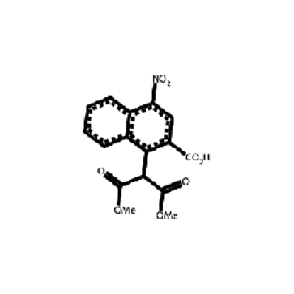 COC(=O)C(C(=O)OC)c1c(C(=O)O)cc([N+](=O)[O-])c2ccccc12